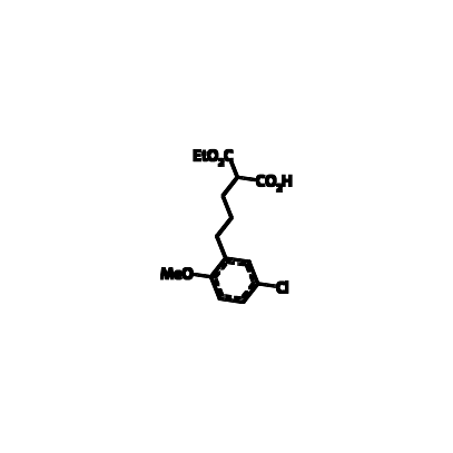 CCOC(=O)C(CCCc1cc(Cl)ccc1OC)C(=O)O